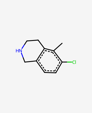 Cc1c(Cl)ccc2c1CCNC2